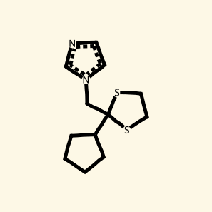 c1cn(CC2(C3CCCC3)SCCS2)cn1